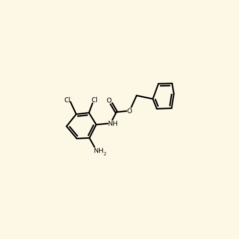 Nc1ccc(Cl)c(Cl)c1NC(=O)OCc1ccccc1